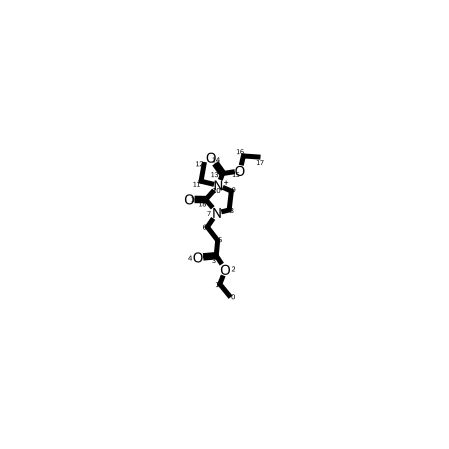 CCOC(=O)CCN1CC[N+](CC)(C(=O)OCC)C1=O